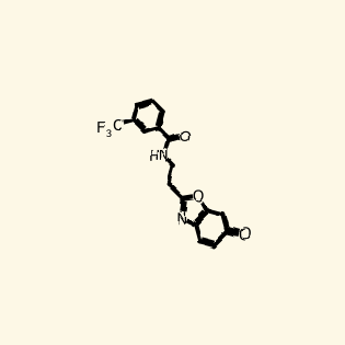 O=C1C=Cc2nc(CCNC(=O)c3cccc(C(F)(F)F)c3)oc2C1